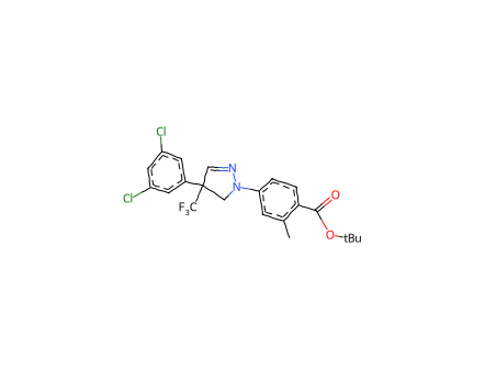 Cc1cc(N2CC(c3cc(Cl)cc(Cl)c3)(C(F)(F)F)C=N2)ccc1C(=O)OC(C)(C)C